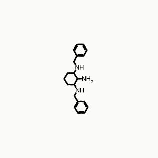 NC1C(NCc2ccccc2)CCCC1NCc1ccccc1